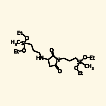 CCO[Si](C)(CCCNC1CC(=O)N(CCC[Si](C)(OCC)OCC)C1=O)OCC